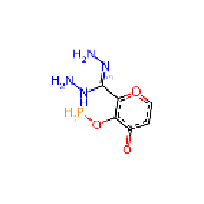 N/N=C(\NN)c1occc(=O)c1OP